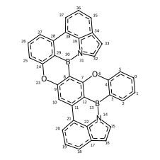 c1ccc2c(c1)Oc1c3c(cc4c1B2n1ccc2cccc-4c21)Oc1cccc2c1B3n1ccc3cccc-2c31